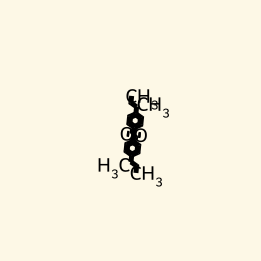 CCC(C)c1ccc(S(=O)(=O)c2ccc(C(C)CC)cc2)cc1